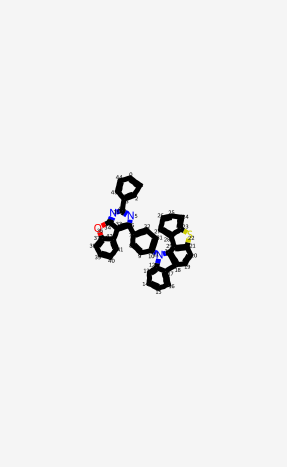 c1ccc(-c2nc(-c3ccc(-n4c5ccccc5c5ccc6sc7ccccc7c6c54)cc3)c3c(n2)oc2ccccc23)cc1